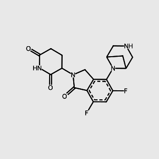 O=C1CCC(N2Cc3c(c(F)cc(F)c3N3C4CNCC3C4)C2=O)C(=O)N1